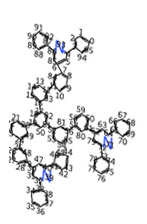 c1ccc(-c2cc(-c3cccc(-c4cccc(-c5cc(-c6cccc(-c7cccc(-c8cc(-c9ccccc9)nc(-c9ccccc9)c8)c7)c6)cc(-c6cccc(-c7cccc(-c8cc(-c9ccccc9)nc(-c9ccccc9)c8)c7)c6)c5)c4)c3)cc(-c3ccccc3)n2)cc1